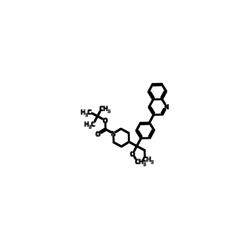 CCC(OC)(c1ccc(-c2cnc3ccccc3c2)cc1)C1CCN(C(=O)OC(C)(C)C)CC1